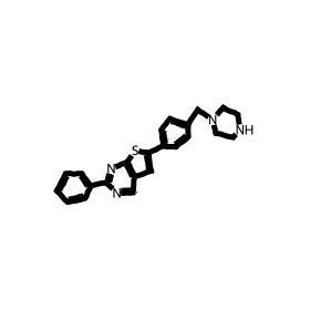 [c]1nc(-c2ccccc2)nc2sc(-c3ccc(CN4CCNCC4)cc3)cc12